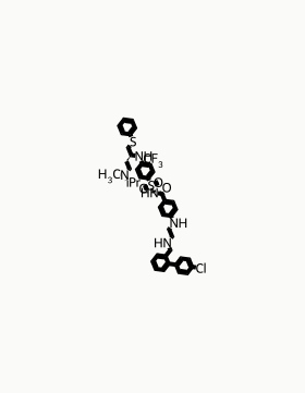 CC(C)N(C)CC[C@H](CSc1ccccc1)Nc1ccc(S(=O)(=O)NC(=O)c2ccc(NCCNCc3ccccc3-c3ccc(Cl)cc3)cc2)cc1C(F)(F)F